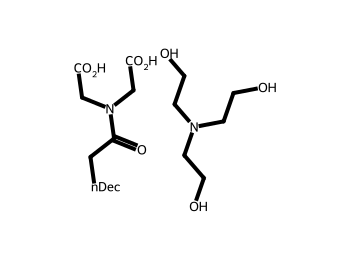 CCCCCCCCCCCC(=O)N(CC(=O)O)CC(=O)O.OCCN(CCO)CCO